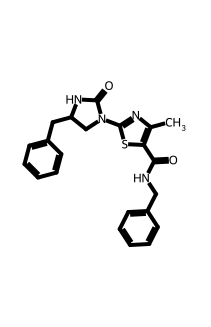 Cc1nc(N2CC(Cc3ccccc3)NC2=O)sc1C(=O)NCc1ccccc1